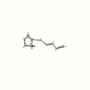 O=[C]C=CCc1ncc[nH]1